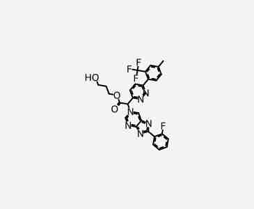 Cc1ccc(-c2ccc(C(C(=O)OCCCO)n3cnc4nc(-c5ccccc5F)nc-4c3)nn2)c(C(F)(F)F)c1